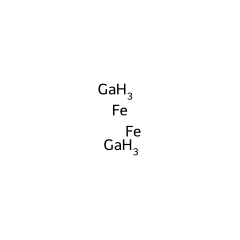 [Fe].[Fe].[GaH3].[GaH3]